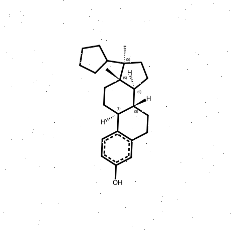 C[C@]12CC[C@@H]3c4ccc(O)cc4CC[C@H]3[C@@H]1CC[C@]2(C)C1CCCC1